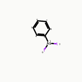 I[As](I)c1ccccc1